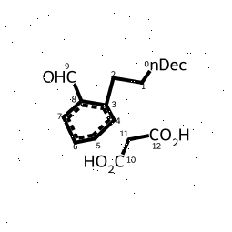 CCCCCCCCCCCCc1ccccc1C=O.O=C(O)CC(=O)O